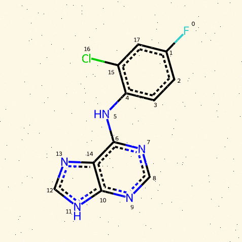 Fc1ccc(Nc2ncnc3[nH]cnc23)c(Cl)c1